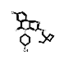 CCC1(CNc2ncc3c4ccc(Cl)cc4c(=O)n([C@H]4CC[C@H](O)CC4)c3n2)CCC1